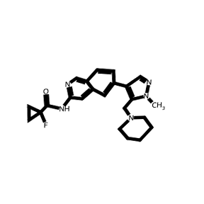 Cn1ncc(-c2ccc3cnc(NC(=O)C4(F)CC4)cc3c2)c1CN1CCCCC1